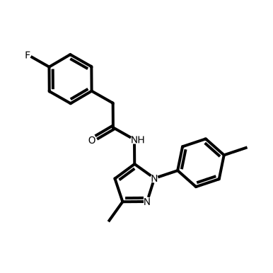 Cc1ccc(-n2nc(C)cc2NC(=O)Cc2ccc(F)cc2)cc1